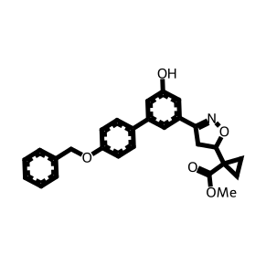 COC(=O)C1(C2CC(c3cc(O)cc(-c4ccc(OCc5ccccc5)cc4)c3)=NO2)CC1